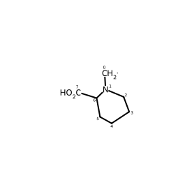 [CH2]N1CCCCC1C(=O)O